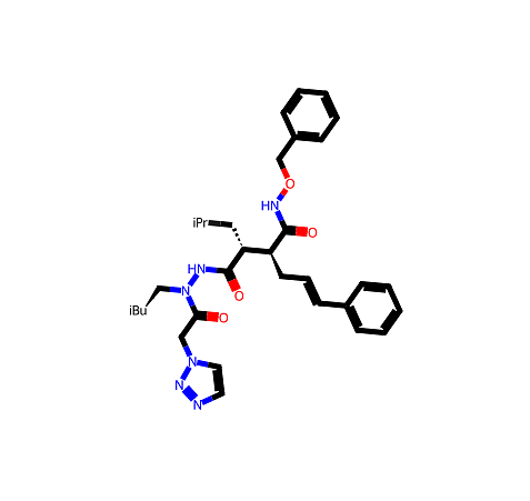 CC[C@H](C)CN(NC(=O)[C@H](CC(C)C)[C@H](CC=Cc1ccccc1)C(=O)NOCc1ccccc1)C(=O)Cn1ccnn1